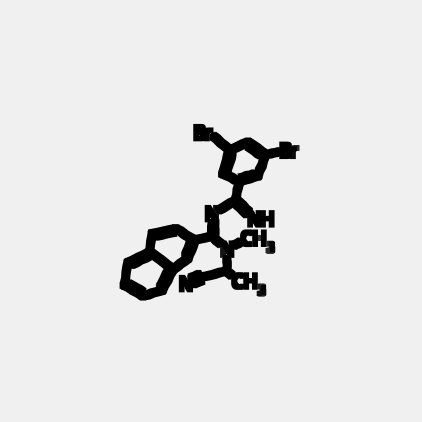 CC(C#N)N(C)/C(=N\C(=N)c1cc(Br)cc(Br)c1)c1ccc2ccccc2c1